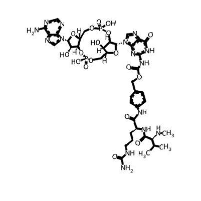 CN[C@H](C(=O)N[C@@H](CCCNC(N)=O)C(=O)Nc1ccc(COC(=O)Nc2nc3c(ncn3[C@@H]3O[C@@H]4COP(=O)(O)O[C@H]5[C@@H](O)[C@H](n6cnc7c(N)ncnc76)O[C@@H]5COP(=O)(O)O[C@@H]3[C@@H]4O)c(=O)[nH]2)cc1)C(C)C